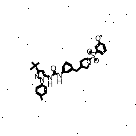 COc1cccc(S(=O)(=O)N2CCC(Cc3cccc(NC(=O)Nc4cc(C(C)(C)C)nn4-c4ccc(C)cc4)c3)CC2)c1